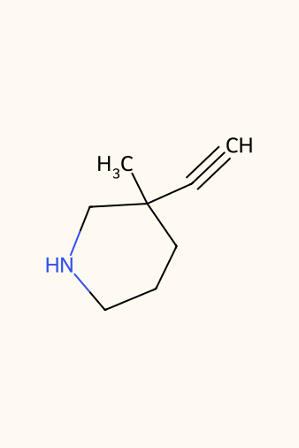 C#CC1(C)CCCNC1